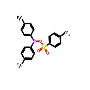 O=S(=O)(O[I+](c1ccc(C(F)(F)F)cc1)c1ccc(C(F)(F)F)cc1)c1ccc(C(F)(F)F)cc1